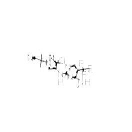 CNc1nc(Nc2cn(C(C)(C)C#N)nc2Cl)ncc1C(F)(F)F